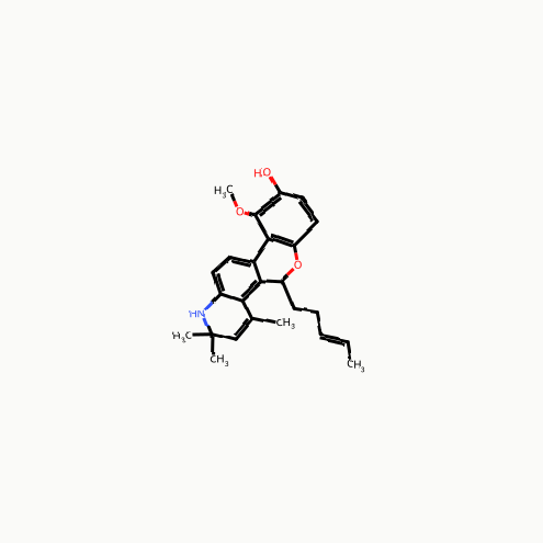 CC=CCCC1Oc2ccc(O)c(OC)c2-c2ccc3c(c21)C(C)=CC(C)(C)N3